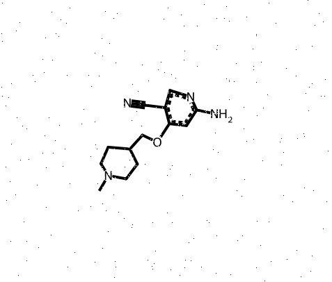 CN1CCC(COc2cc(N)ncc2C#N)CC1